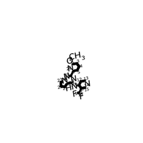 COc1cccc(-c2nc(Nc3ccncc3C(F)F)c3cccn3n2)n1